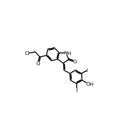 O=C1Nc2ccc(C(=O)CCl)cc2C1=Cc1cc(I)c(O)c(I)c1